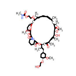 CNC(=O)OCCOC1C[C@@H]2CC[C@@H](C)[C@@](O)(O2)C(=O)C(=O)N2CCCC[C@H]2C(=O)O[C@H]([C@H](C)C[C@@H]2CC[C@@H](OCCO)[C@H](OC)C2)CC(=O)[C@H](C)/C=C(\C)[C@@H](O)[C@@H](OC)C(=O)[C@H](C)C[C@H](C)/C=C/C=C/C=C/1C